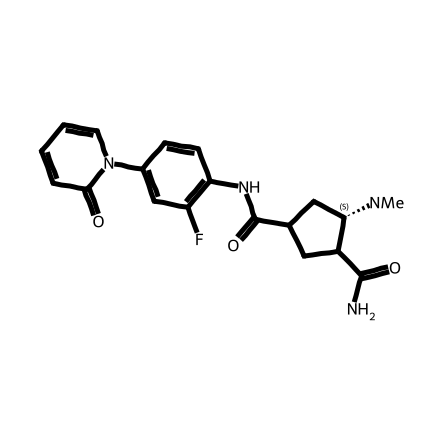 CN[C@H]1CC(C(=O)Nc2ccc(-n3ccccc3=O)cc2F)CC1C(N)=O